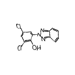 Oc1c(Cl)cc(Cl)cc1-n1nc2ccccc2n1